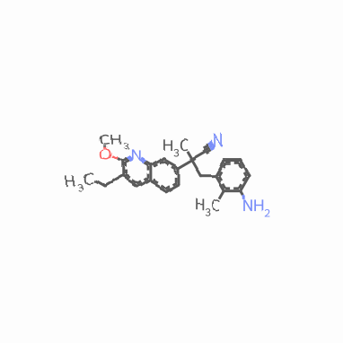 CCc1cc2ccc(C(C)(C#N)Cc3cccc(N)c3C)cc2nc1OC